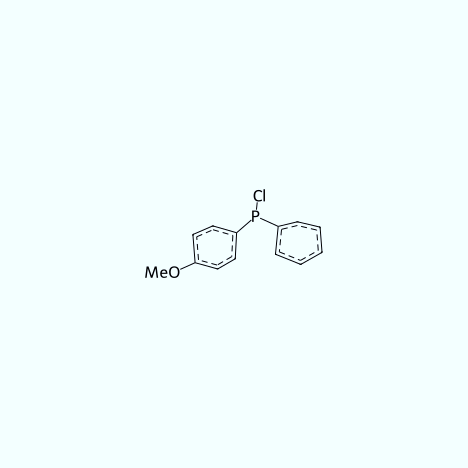 COc1ccc(P(Cl)c2ccccc2)cc1